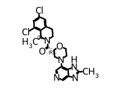 Cc1nc2cncc(N3CCO[C@@H](C(=O)N4CCc5cc(Cl)cc(Cl)c5[C@@H]4C)C3)c2[nH]1